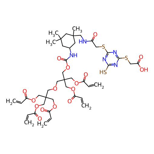 C=CC(=O)OCC(COCC(COC(=O)C=C)(COC(=O)C=C)COC(=O)NC1CC(C)(C)CC(C)(CNC(=O)CSc2nc(S)nc(SCC(=O)O)n2)C1)(COC(=O)C=C)COC(=O)C=C